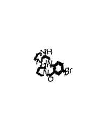 O=C(c1cc(Br)ccc1NCC1=NCCN1)N1CCCC1